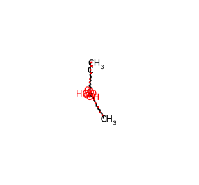 CCCCCCCCCCCCCCCC(=O)OC(CO)(C(=O)O)C(=O)CCCCCCCCCCCCCCC